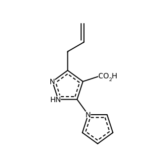 C=CCc1n[nH]c(-n2cccc2)c1C(=O)O